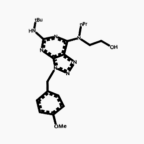 CCCN(CCO)c1nc(NC(C)(C)C)nc2c1nnn2Cc1ccc(OC)cc1